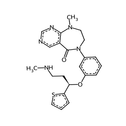 CNCC[C@@H](Oc1cccc(N2CCN(C)c3ncncc3C2=O)c1)c1cccs1